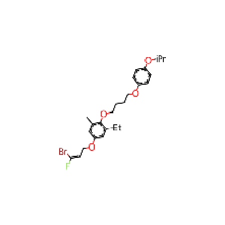 CCc1cc(OCC=C(F)Br)cc(C)c1OCCCCOc1ccc(OC(C)C)cc1